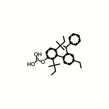 CCc1ccc(-c2c(C(C)(C)CC)ccc(OP(O)O)c2C(C)(C)CC)c(C(C)c2ccccc2)c1